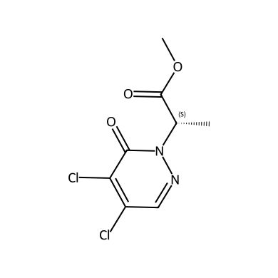 COC(=O)[C@H](C)n1ncc(Cl)c(Cl)c1=O